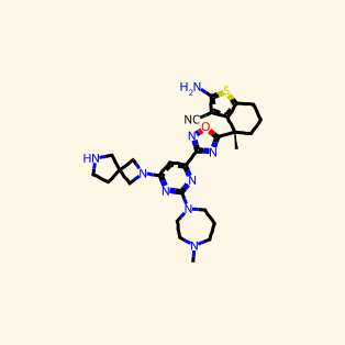 CN1CCCN(c2nc(-c3noc([C@@]4(C)CCCc5sc(N)c(C#N)c54)n3)cc(N3CC4(CCNC4)C3)n2)CC1